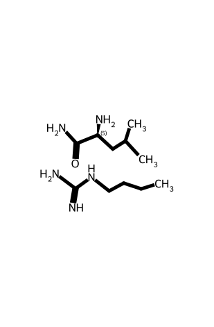 CC(C)C[C@H](N)C(N)=O.CCCCNC(=N)N